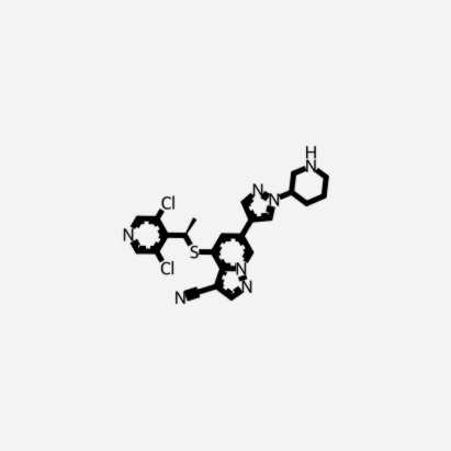 C[C@@H](Sc1cc(-c2cnn(C3CCCNC3)c2)cn2ncc(C#N)c12)c1c(Cl)cncc1Cl